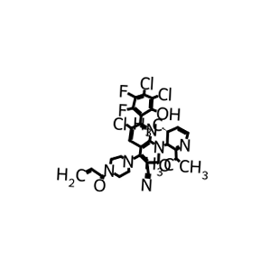 C=CC(=O)N1CCN(c2c(C#N)c(=O)n(C3C(C(C)C)=NC=C[C@H]3C)c3nc(-c4c(O)c(Cl)c(Cl)c(F)c4F)c(Cl)cc23)CC1